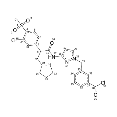 CS(=O)(=O)c1ccc(C(CC2CCCC2)C(=O)Nc2ccn(Cc3cccc(C(=O)Cl)c3)n2)cc1Cl